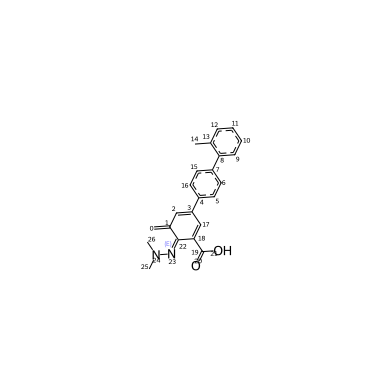 C=C1C=C(c2ccc(-c3ccccc3C)cc2)C=C(C(=O)O)/C1=N/N(C)C